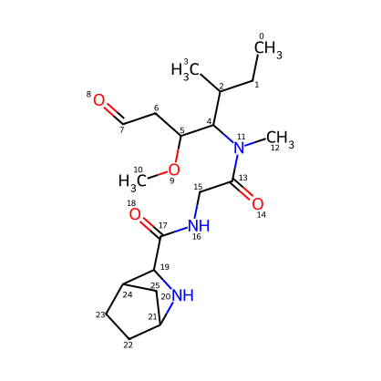 CCC(C)C(C(CC=O)OC)N(C)C(=O)CNC(=O)C1NC2CCC1C2